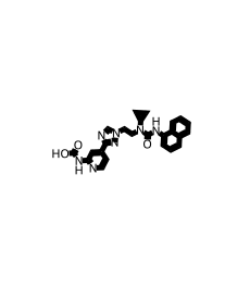 O=C(O)Nc1cc(-c2ncn(CCN(C(=O)Nc3cccc4ccccc34)C3CC3)n2)ccn1